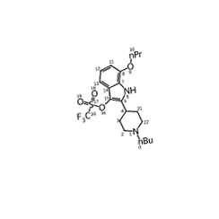 CCCCN1CCC(c2[nH]c3c(OCCC)cccc3c2OS(=O)(=O)C(F)(F)F)CC1